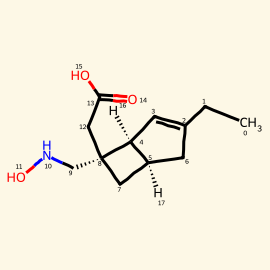 CCC1=C[C@H]2[C@@H](C1)C[C@@]2(CNO)CC(=O)O